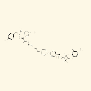 CC(C)(C)c1ccc(CNC(=O)[C@@H]2C[C@@H](O)CN2C(=O)C(NC(=O)COCCN2CCN(c3ccc(C(=O)NC4C(C)(C)C(Oc5ccc(C#N)c(Cl)c5)C4(C)C)cn3)CC2)C(C)(C)C)cc1